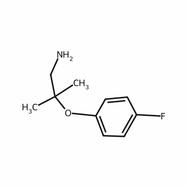 CC(C)(CN)Oc1ccc(F)cc1